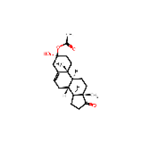 CC(=O)O[C@@]1(O)CC[C@@]2(C)C(=CC[C@@H]3[C@@H]2CC[C@]2(C)C(=O)CC[C@@H]32)C1